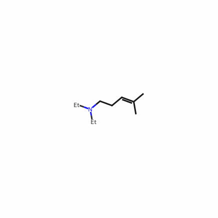 CCN(CC)CCC=C(C)C